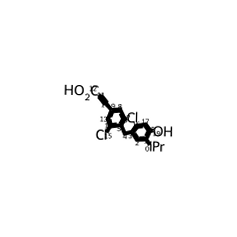 CC(C)c1cc(Cc2c(Cl)cc(C#CC(=O)O)cc2Cl)ccc1O